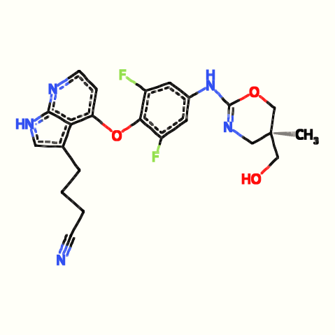 C[C@]1(CO)CN=C(Nc2cc(F)c(Oc3ccnc4[nH]cc(CCCC#N)c34)c(F)c2)OC1